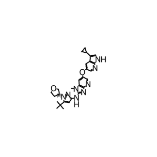 Cn1c(Nc2cc(C(C)(C)C)n([C@@H]3CCOC3)n2)nc2ncc(Oc3cnc4[nH]cc(C5CC5)c4c3)cc21